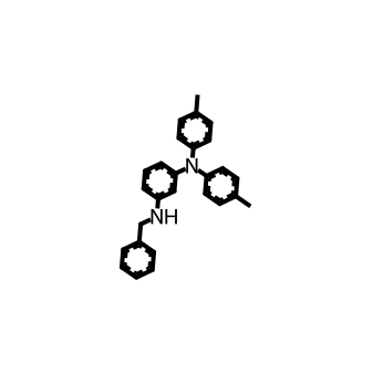 Cc1ccc(N(c2ccc(C)cc2)c2cccc(NCc3ccccc3)c2)cc1